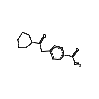 CC(=O)c1ccc(CC(=O)C2CCCCC2)cc1